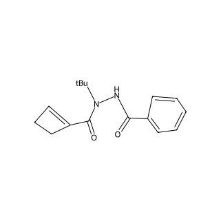 CC(C)(C)N(NC(=O)c1ccccc1)C(=O)C1=CCC1